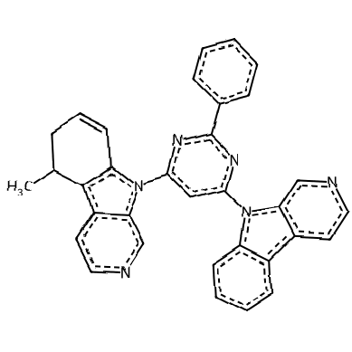 CC1CC=Cc2c1c1ccncc1n2-c1cc(-n2c3ccccc3c3ccncc32)nc(-c2ccccc2)n1